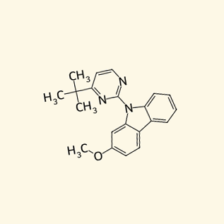 COc1ccc2c3ccccc3n(-c3nccc(C(C)(C)C)n3)c2c1